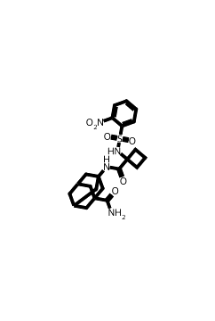 NC(=O)C12CC3CC(CC(NC(=O)C4(NS(=O)(=O)c5ccccc5[N+](=O)[O-])CCC4)(C3)C1)C2